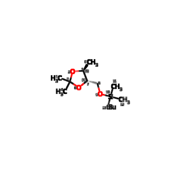 C[C@@H]1OC(C)(C)O[C@H]1CO[Si](C)(C)C(C)(C)C